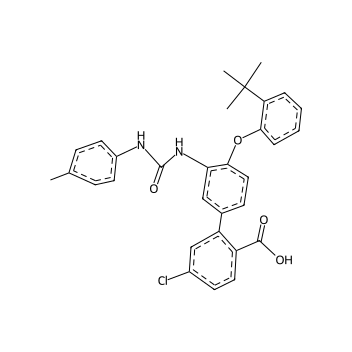 Cc1ccc(NC(=O)Nc2cc(-c3cc(Cl)ccc3C(=O)O)ccc2Oc2ccccc2C(C)(C)C)cc1